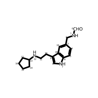 O=CNCc1ccc2[nH]cc(CCNC3CCCC3)c2c1